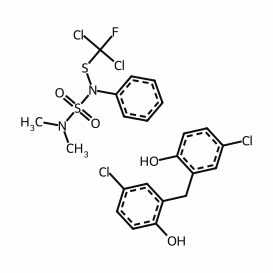 CN(C)S(=O)(=O)N(SC(F)(Cl)Cl)c1ccccc1.Oc1ccc(Cl)cc1Cc1cc(Cl)ccc1O